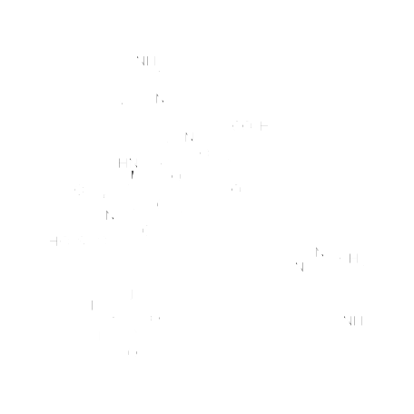 C[n+]1cc2cc(OC[C@H](O/N=C(\C(=O)N[C@@H]3C(=O)N(OS(=O)(=O)O)C3(C)C)c3csc(N)n3)C(=O)O)ccc2n1CC1CNC1.O=C([O-])C(F)(F)F